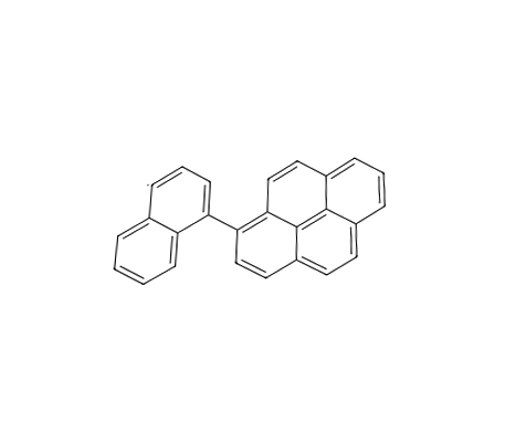 [c]1ccc(-c2ccc3ccc4cccc5ccc2c3c45)c2ccccc12